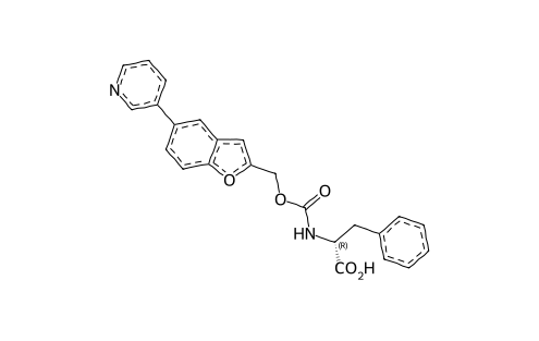 O=C(N[C@H](Cc1ccccc1)C(=O)O)OCc1cc2cc(-c3cccnc3)ccc2o1